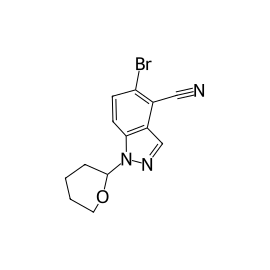 N#Cc1c(Br)ccc2c1cnn2C1CCCCO1